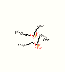 CCCCCCCCCCCCCCC(C(=O)OCCCS(=O)(=O)O)S(=O)(=O)[O-].CCCCCCCCCCCCCCC(C(=O)OCCCS(=O)(=O)O)S(=O)(=O)[O-].[Na+].[Na+]